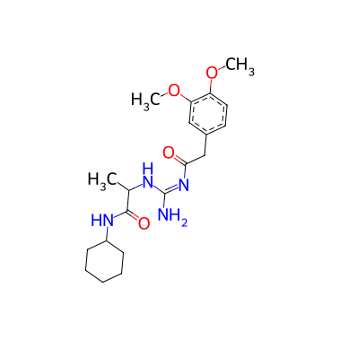 COc1ccc(CC(=O)N=C(N)NC(C)C(=O)NC2CCCCC2)cc1OC